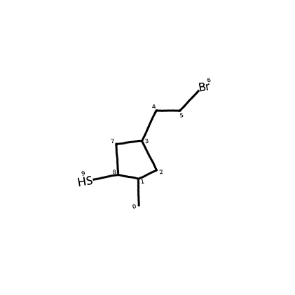 CC1CC(CCBr)CC1S